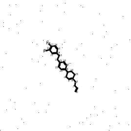 C=CCCC1=CCC(c2ccc(CCc3ccc(F)c(F)c3)cc2)CC1